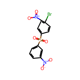 O=[N+]([O-])c1cccc(S(=O)(=O)c2ccc(Br)c([N+](=O)[O-])c2)c1